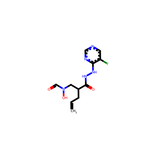 C=CCC(CN(O)C=O)C(=O)NNc1ncncc1F